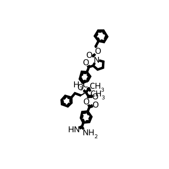 CC(C)(C)[C@@](CCc1ccccc1)(Oc1ccc(C(=O)C2CCCN2C(=O)OCc2ccccc2)cc1)C(=O)OC(=O)c1ccc(C(=N)N)cc1